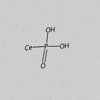 O=[P](O)(O)[Ce]